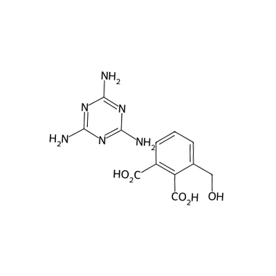 Nc1nc(N)nc(N)n1.O=C(O)c1cccc(CO)c1C(=O)O